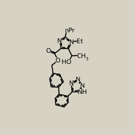 CCCc1nc(C(=O)OCc2ccc(-c3ccccc3-c3nnn[nH]3)cc2)c(C(C)O)n1CC